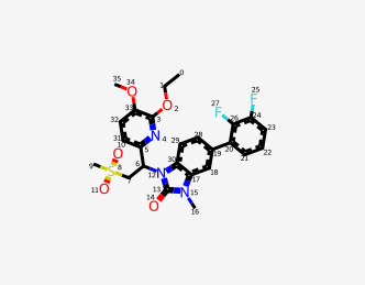 CCOc1nc(C(CS(C)(=O)=O)n2c(=O)n(C)c3cc(-c4cccc(F)c4F)ccc32)ccc1OC